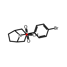 C=C1CC2CCC(C1)N2S(=O)(=O)c1ccc(Br)cc1